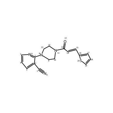 N#Cc1cccnc1N1CCN(C(=O)/C=C/c2cccs2)CC1